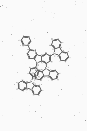 c1ccc(-c2ccc3c(c2)c2cc(-n4c5ccccc5c5ccccc54)cc(-n4c5ccccc5c5ccccc54)c2n3-c2ccc(-n3c4ccccc4c4ccccc43)cc2)cc1